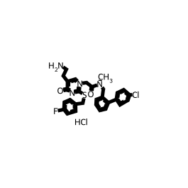 CN(Cc1ccccc1-c1ccc(Cl)cc1)C(=O)Cn1cc(CCN)c(=O)nc1SCc1ccc(F)cc1.Cl